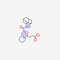 COC(=O)CCC(=O)N1CCCCC1CNC(=O)NC12CC3CC(CC(C3)C1)C2